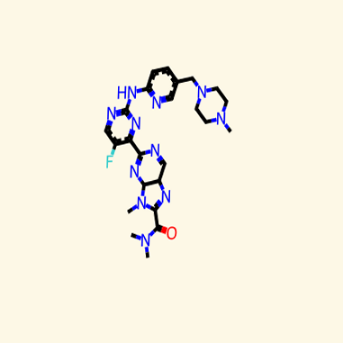 CN1CCN(Cc2ccc(Nc3ncc(F)c(C4=NC5C(C=N4)N=C(C(=O)N(C)C)N5C)n3)nc2)CC1